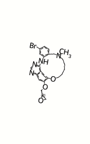 CN1CCCCCOc2cc3c(ncnc3cc2OC[C@H]2CO2)Nc2cc(Br)ccc2C1